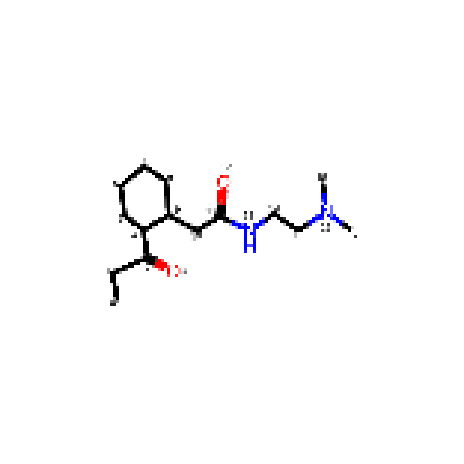 CCC(=O)C1CCCCC1CC(=O)NCCN(C)C